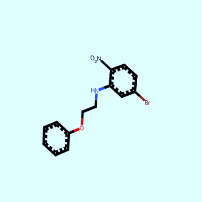 O=[N+]([O-])c1ccc(Br)cc1NCCOc1ccccc1